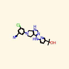 CC(C)(O)c1ccc(NC2=NCNC3=C2CCN(c2cc(Cl)cc(C#N)c2)C3)nc1